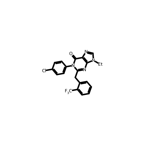 CCn1cnc2c(=O)n(-c3ccc(Cl)cc3)c(Cc3ccccc3C(F)(F)F)nc21